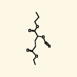 CCCOC(=O)C(CCC(=O)OCC)OC#N